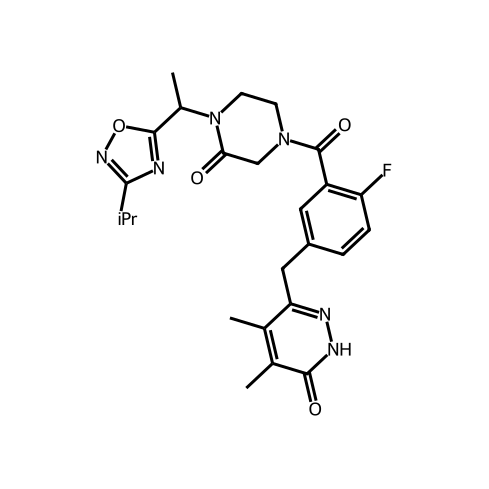 Cc1c(Cc2ccc(F)c(C(=O)N3CCN(C(C)c4nc(C(C)C)no4)C(=O)C3)c2)n[nH]c(=O)c1C